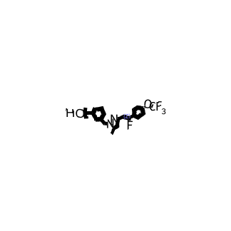 Cc1cc(/C=C(\F)c2ccc(OC(F)(F)F)cc2)nn1Cc1cccc(C(C)(C)O)c1